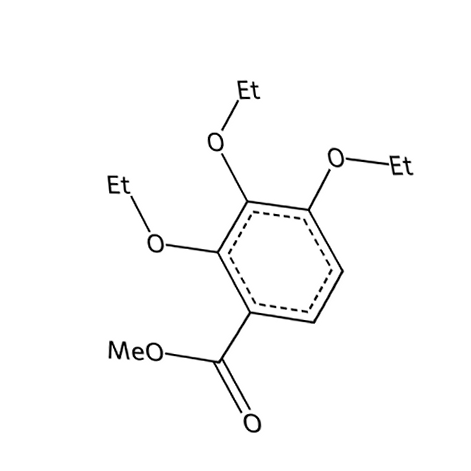 CCOc1ccc(C(=O)OC)c(OCC)c1OCC